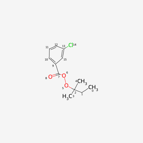 CCC(C)(C)OOC(=O)c1cccc(Cl)c1